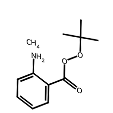 C.CC(C)(C)OOC(=O)c1ccccc1N